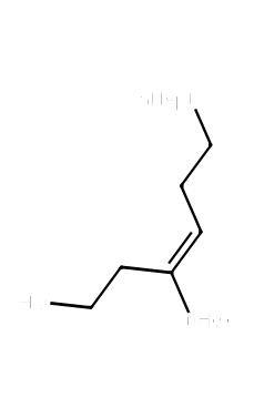 CCCCCCCCCC=C(CCO)CCCCCC